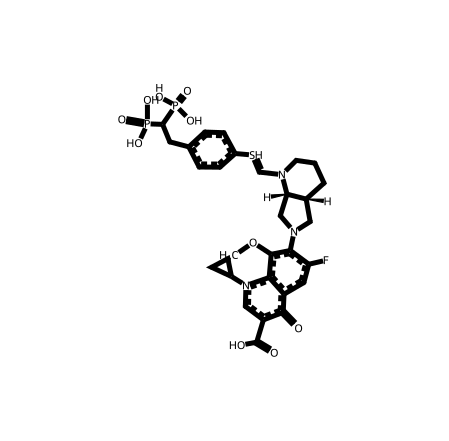 COc1c(N2C[C@H]3CCCN(C=[SH]c4ccc(CC(P(=O)(O)O)P(=O)(O)O)cc4)[C@H]3C2)c(F)cc2c(=O)c(C(=O)O)cn(C3CC3)c12